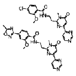 COc1cc(-c2noc(C)n2)ccc1C(=O)NCCc1nc(-c2ccncn2)cc(=O)n1C.COc1cc(Cl)ccc1C(=O)NCCc1nc(-c2ccncn2)cc(=O)n1C